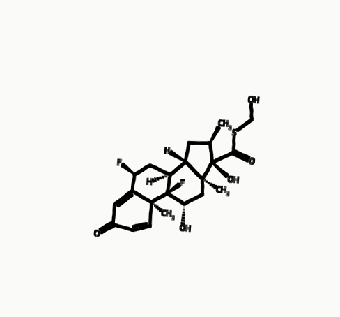 C[C@@H]1C[C@H]2[C@@H]3C[C@H](F)C4=CC(=O)C=C[C@]4(C)[C@@]3(F)[C@@H](O)C[C@]2(C)[C@@]1(O)C(=O)SCO